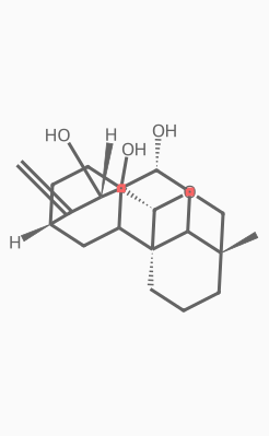 C=C1[C@H]2CCC3(C(C2)[C@@]24CCC[C@@](C)(CO[C@H]2CO)C4C[C@H]3O)[C@H]1O